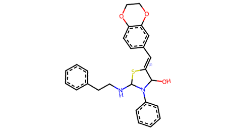 OC1/C(=C/c2ccc3c(c2)OCCO3)SC(NCCc2ccccc2)N1c1ccccc1